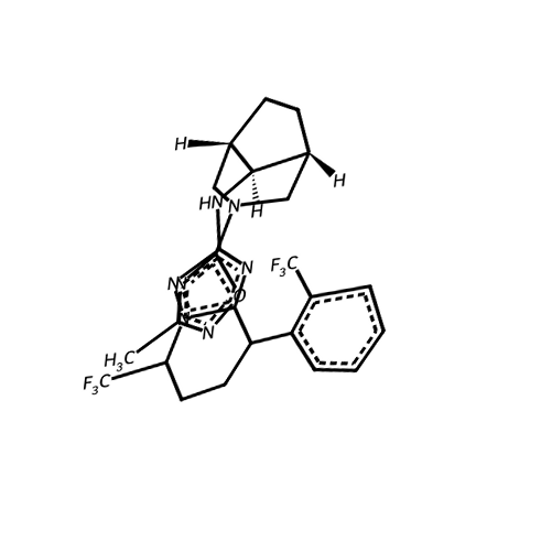 Cc1noc(N2C[C@H]3CC[C@@H](C2)[C@@H]3Nc2nc3n(n2)C(C(F)(F)F)CCC3c2ccccc2C(F)(F)F)n1